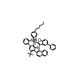 CCCCCc1ccc(Nc2ccccc2-c2cc(C(C)(C)C)c3c4ccc5ccccc5c4n4c3c2Bc2oc3ccc(-c5ccccc5)cc3c2-4)cc1